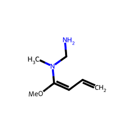 C=C/C=C(/OC)N(C)CN